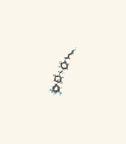 FCCCC=C[C@H]1CC[C@H](CC[C@H]2CC[C@H](c3cc(F)c(F)c(F)c3)CC2)CC1